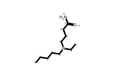 CCCCCN(CC)CCCC(N)=O